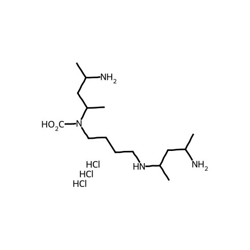 CC(N)CC(C)NCCCCN(C(=O)O)C(C)CC(C)N.Cl.Cl.Cl